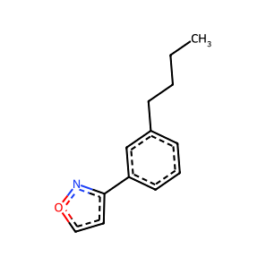 CCCCc1cccc(-c2ccon2)c1